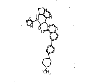 CN1CCC(c2ccc(-c3ccc4ncn(C(C(=O)Nc5nccs5)c5ncn6c5CCC6)c(=O)c4c3)cc2)CC1